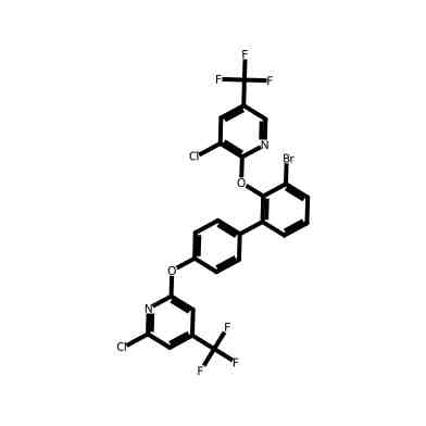 FC(F)(F)c1cc(Cl)nc(Oc2ccc(-c3[c]ccc(Br)c3Oc3ncc(C(F)(F)F)cc3Cl)cc2)c1